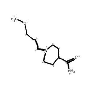 COCCCN1CCC(C(N)=O)CC1